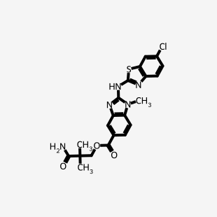 Cn1c(Nc2nc3ccc(Cl)cc3s2)nc2cc(C(=O)OCC(C)(C)C(N)=O)ccc21